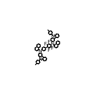 Cc1ccc(-n2c3ccccc3c3cc(N(c4ccc(-c5c(F)c(F)c(N(c6ccc7c(c6)c6ccccc6n7-c6ccc(C)cc6)c6cccc7ccccc67)c(F)c5F)cc4)c4cccc5ccccc45)ccc32)cc1